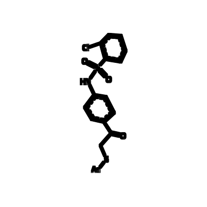 CC(=O)SCC(=O)c1ccc(NS(=O)(=O)c2ccccc2Cl)cc1